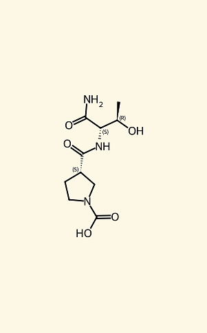 C[C@@H](O)[C@H](NC(=O)[C@H]1CCN(C(=O)O)C1)C(N)=O